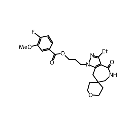 CCc1nn(CCCOC(=O)c2ccc(F)c(OC)c2)c2c1C(=O)NCC1(CCOCC1)C2